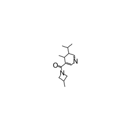 CC1CN(C(=O)C2=CN=CC(C(C)C)C2C)C1